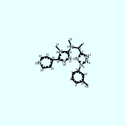 CC(c1nnn(-c2cccc(I)c2)n1)N(C)c1nnc(-c2ccncc2)n1C